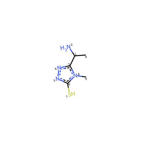 CC(N)c1nnc(S)n1C